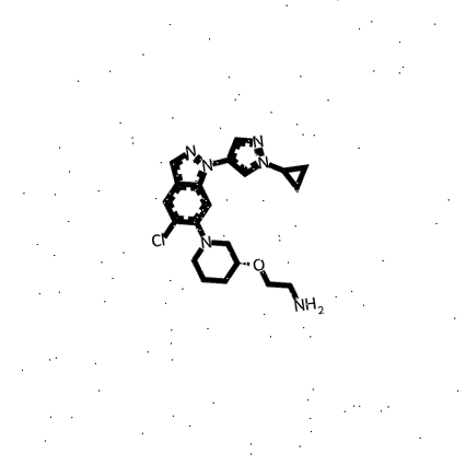 NCCO[C@@H]1CCCN(c2cc3c(cnn3-c3cnn(C4CC4)c3)cc2Cl)C1